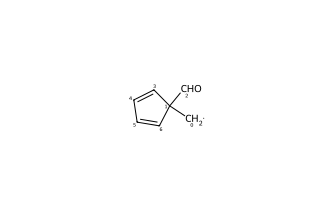 [CH2]C1(C=O)C=CC=C1